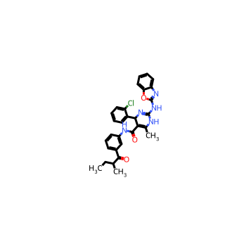 CCC(C)C(=O)c1cccc(NC(=O)C2=C(C)NC(Nc3nc4ccccc4o3)=NC2c2ccccc2Cl)c1